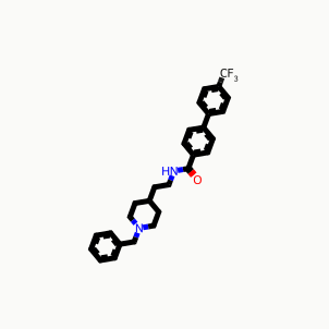 O=C(NCCC1CCN(Cc2ccccc2)CC1)c1ccc(-c2ccc(C(F)(F)F)cc2)cc1